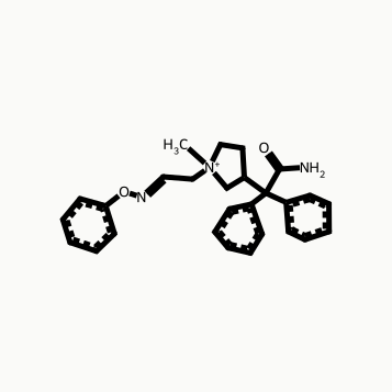 C[N+]1(CC=NOc2ccccc2)CCC(C(C(N)=O)(c2ccccc2)c2ccccc2)C1